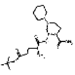 CC(C)(C)OC(=O)CC[C@H](N)C(=O)OC1CN(C2CCCCC2)CCN1C(N)=O